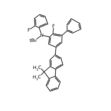 CC1(C)c2ccccc2-c2ccc(-c3cc(-c4ccccc4)c(F)c(N(c4ccccc4F)C(C)(C)C)c3)cc21